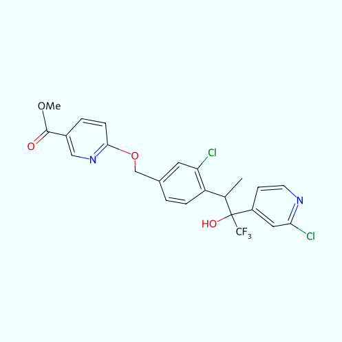 COC(=O)c1ccc(OCc2ccc(C(C)C(O)(c3ccnc(Cl)c3)C(F)(F)F)c(Cl)c2)nc1